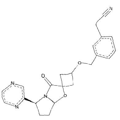 N#CCc1cccc(COC2CC3(C2)OC2CC[C@@H](c4cnccn4)N2C3=O)c1